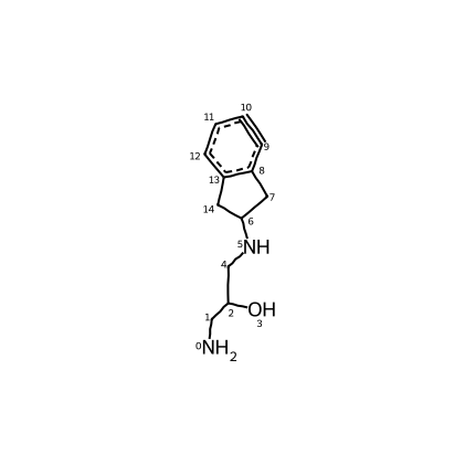 NCC(O)CNC1Cc2c#cccc2C1